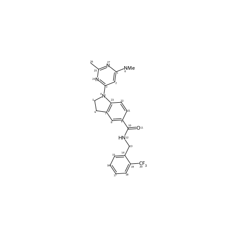 CNc1cc(N2CCc3cc(C(=O)NCc4ccccc4C(F)(F)F)ccc32)nc(C)n1